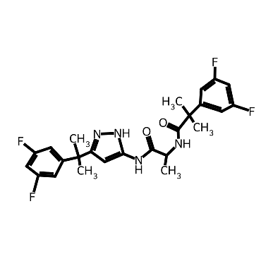 CC(NC(=O)C(C)(C)c1cc(F)cc(F)c1)C(=O)Nc1cc(C(C)(C)c2cc(F)cc(F)c2)n[nH]1